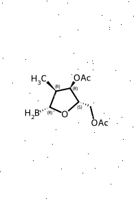 B[C@H]1O[C@@H](COC(C)=O)[C@H](OC(C)=O)[C@@H]1C